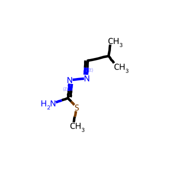 CS/C(N)=N\N=C\C(C)C